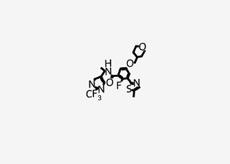 Cc1cnc(-c2cc(OCC3CCOCC3)cc(C(=O)NC(C)c3cnc(C(F)(F)F)nc3)c2F)s1